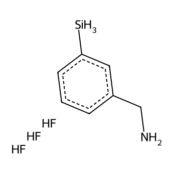 F.F.F.NCc1cccc([SiH3])c1